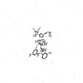 CCCN(CCC)C(=O)c1cc(C#CCNC)cc(C(=O)N[C@@H](Cc2cc(F)cc(F)c2)[C@H](O)CNCc2cccc(CC)c2)c1